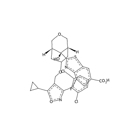 O=C(O)c1cc(F)c2nc([C@@]3(O)[C@@H]4COC[C@H]3CC(OCc3c(-c5c(Cl)cccc5Cl)noc3C3CC3)C4)sc2c1